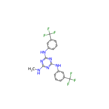 CNc1nc(Nc2cccc(C(F)(F)F)c2)nc(Nc2cccc(C(F)(F)F)c2)n1